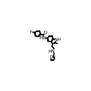 Cc1[nH]c2ccc(NC(=O)c3ccc(F)cc3)cc2c1CCNCc1ccco1